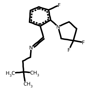 CC(C)(C)CC/N=C/c1cccc(F)c1N1CCC(F)(F)C1